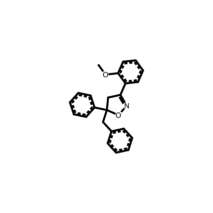 COc1ccccc1C1=NOC(Cc2ccccc2)(c2ccccc2)C1